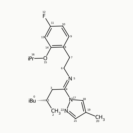 CC[C@@H](C)C(C)C/C(=N\CCc1ccc(F)cc1OC(C)C)n1cc(C)cn1